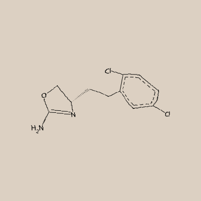 NC1=N[C@@H](CCc2cc(Cl)ccc2Cl)CO1